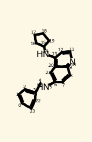 c1ccc(CNc2ccc3nccc(NC4CCCC4)c3c2)cc1